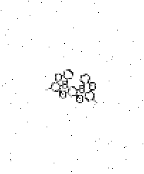 Cc1cc2c3c(c1)Oc1cc4c(cc1B3c1ccccc1O2)B1c2ccccc2Oc2cc(C)cc(c21)O4